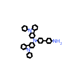 Nc1ccc(-c2ccc(N(c3ccc4c(c3)c3ccccc3n4-c3ccccc3)c3ccc4c(c3)c3ccccc3n4-c3ccccc3)cc2)cc1